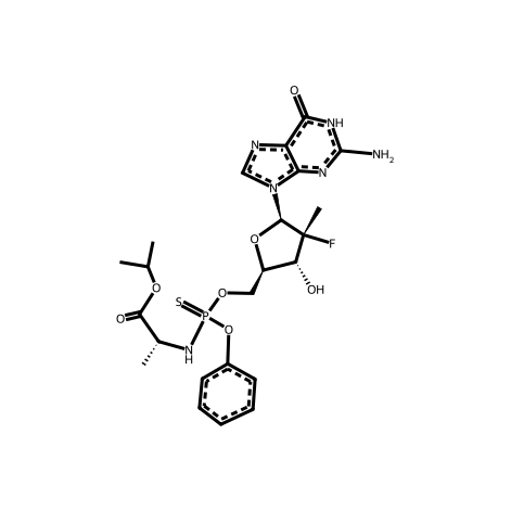 CC(C)OC(=O)[C@@H](C)NP(=S)(OC[C@H]1O[C@@H](n2cnc3c(=O)[nH]c(N)nc32)[C@](C)(F)[C@@H]1O)Oc1ccccc1